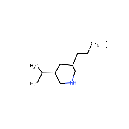 CCCC1CNCC(C(C)C)C1